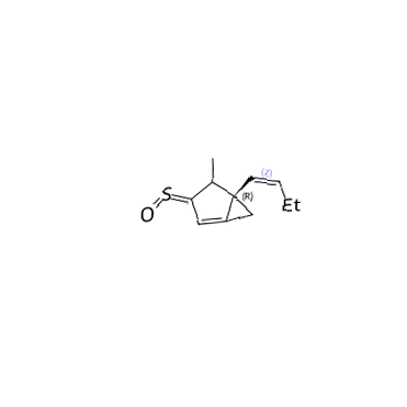 CC/C=C\[C@@]12CC1=CC(=S=O)C2C